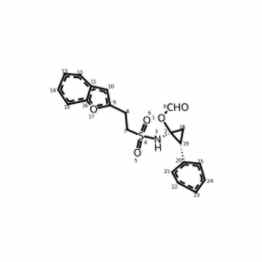 O=CO[C@@]1(NS(=O)(=O)CCc2cc3ccccc3o2)C[C@@H]1c1ccccc1